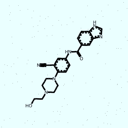 N#Cc1cc(NC(=O)c2ccc3[nH]cnc3c2)ccc1N1CCN(CCO)CC1